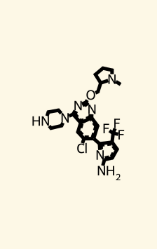 CN1CCCC1COc1nc(N2CCNCC2)c2cc(Cl)c(-c3nc(N)ccc3C(F)(F)F)cc2n1